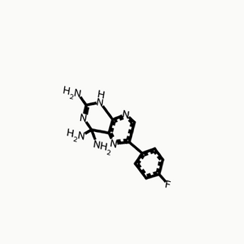 NC1=NC(N)(N)c2nc(-c3ccc(F)cc3)cnc2N1